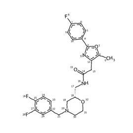 Cc1oc(-c2ccc(F)cc2)nc1CC(=O)NC[C@H]1CN(Cc2ccc(F)c(F)c2)CCO1